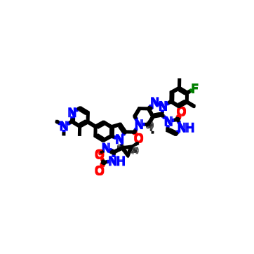 Cc1cc(-n2nc3c(c2-n2cc[nH]c2=O)[C@H](C)N(C(=O)c2cc4cc(-c5ccnc(N(C)C)c5C)ccc4n2[C@@]2(c4noc(=O)[nH]4)C[C@@H]2C)CC3)cc(C)c1F